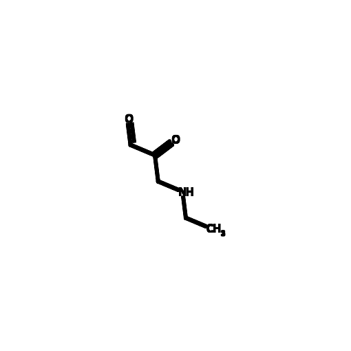 CCNCC(=O)C=O